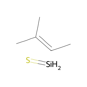 CC=C(C)C.[SiH2]=S